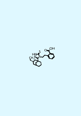 CCC1CC2CCCC(c3n[nH]c(=S)n3CCc3ccccc3C(=O)O)(C1)C2